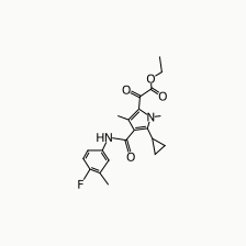 CCOC(=O)C(=O)c1c(C)c(C(=O)Nc2ccc(F)c(C)c2)c(C2CC2)n1C